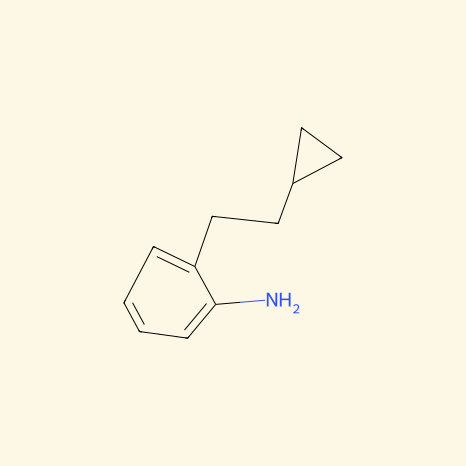 Nc1ccccc1CCC1CC1